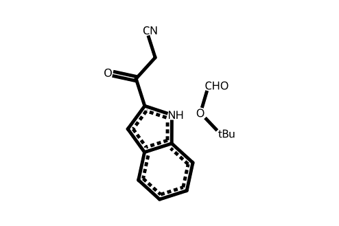 CC(C)(C)OC=O.N#CCC(=O)c1cc2ccccc2[nH]1